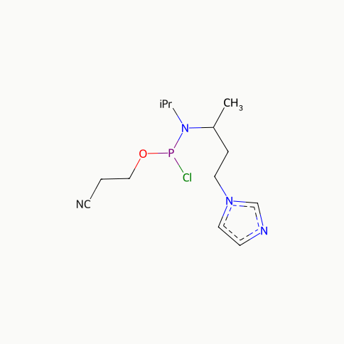 CC(C)N(C(C)CCn1ccnc1)P(Cl)OCCC#N